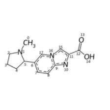 CN1CCCC1c1ccc2nc(C(=O)O)cn2c1